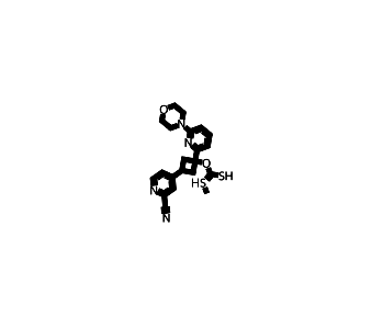 C[SH]=C(S)OC1(c2cccc(N3CCOCC3)n2)CC(c2ccnc(C#N)c2)C1